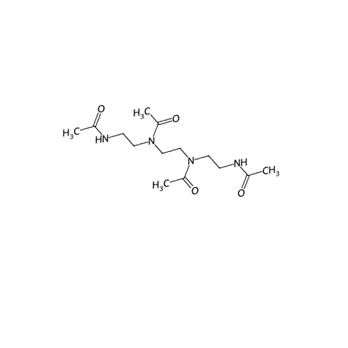 CC(=O)NCCN(CCN(CCNC(C)=O)C(C)=O)C(C)=O